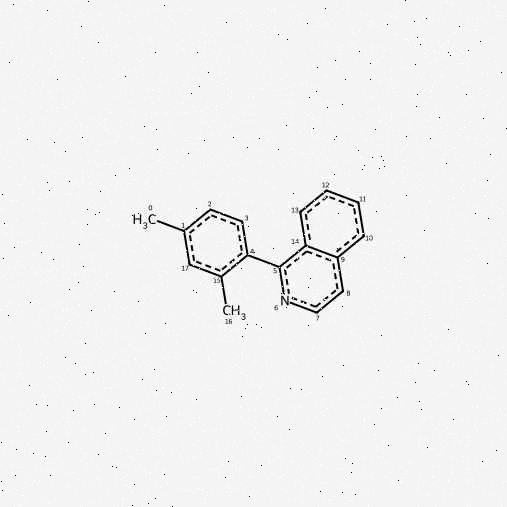 Cc1ccc(-c2nccc3ccccc23)c(C)c1